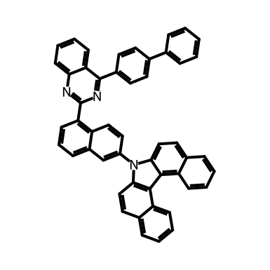 c1ccc(-c2ccc(-c3nc(-c4cccc5cc(-n6c7ccc8ccccc8c7c7c8ccccc8ccc76)ccc45)nc4ccccc34)cc2)cc1